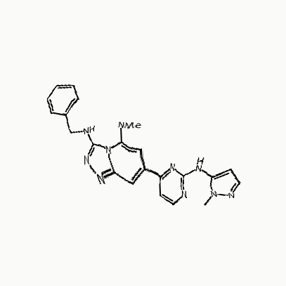 CNc1cc(-c2ccnc(Nc3ccnn3C)n2)cc2nnc(NCc3ccccc3)n12